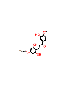 COc1ccc(C(=O)CCc2c(O)cc(OCCBr)cc2O)cc1O